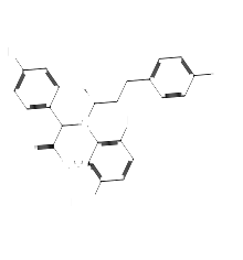 CNC(=O)C(c1ccc(F)cc1)N(c1cc(C)ccc1F)[C@@H](I)CCc1ccc(C(F)(F)F)cc1